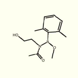 CON(c1c(C)cccc1C)N(CCO)C(C)=O